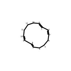 [C]1=C/C=C\CCC/C=C/C=C\CCC/1